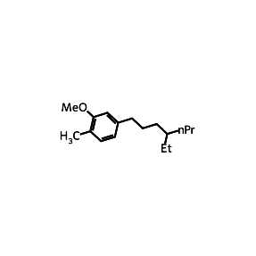 CCCC(CC)CCCc1ccc(C)c(OC)c1